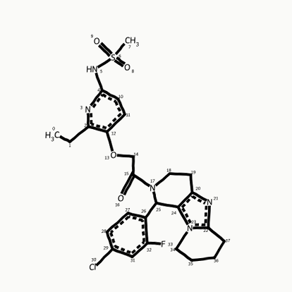 CCc1nc(NS(C)(=O)=O)ccc1OCC(=O)N1CCc2nc3n(c2C1c1ccc(Cl)cc1F)CCCC3